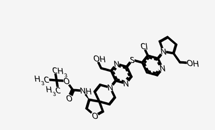 CC(C)(C)OC(=O)N[C@@H]1COCC12CCN(c1ncc(Sc3ccnc(N4CCCC4CO)c3Cl)nc1CO)CC2